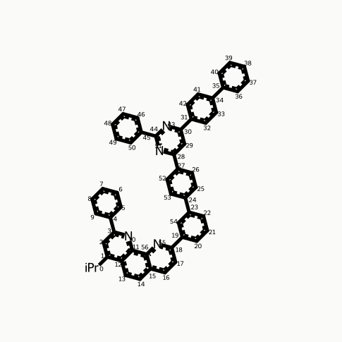 CC(C)c1cc(-c2ccccc2)nc2c1ccc1ccc(-c3cccc(-c4ccc(-c5cc(-c6ccc(-c7ccccc7)cc6)nc(-c6ccccc6)n5)cc4)c3)nc12